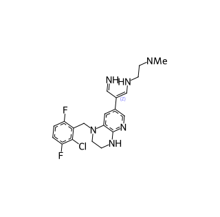 CNCCN/C=C(\C=N)c1cnc2c(c1)N(Cc1c(F)ccc(F)c1Cl)CCN2